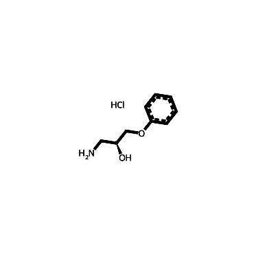 Cl.NC[C@H](O)COc1ccccc1